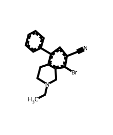 CCN1CCc2c(-c3ccccc3)cc(C#N)c(Br)c2C1